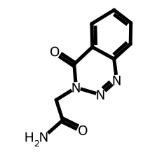 NC(=O)Cn1nnc2ccccc2c1=O